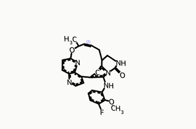 COc1c(F)cccc1Nc1c2cc3n1C(=O)NCC3C/C=C\C(C)Oc1ccc3nccc-2c3n1